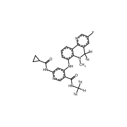 [2H]C([2H])([2H])NC(=O)c1cnc(NC(=O)C2CC2)cc1Nc1cccc2c1N(C)C([2H])([2H])c1cc(F)cnc1-2